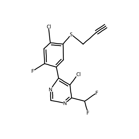 C#CCSc1cc(-c2ncnc(C(F)F)c2Cl)c(F)cc1Cl